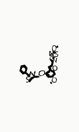 COc1cc(OCc2csc(-c3ccccc3)n2)c2cc(-c3cn4nc(OC)sc4n3)oc2c1